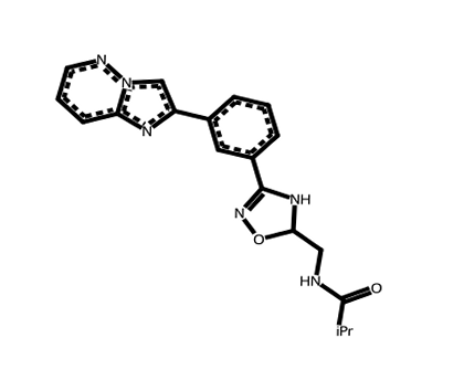 CC(C)C(=O)NCC1NC(c2cccc(-c3cn4ncccc4n3)c2)=NO1